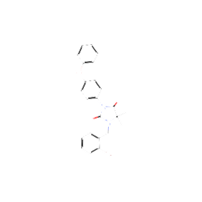 CC1(C)C(=O)N(c2ccc(Oc3ccccc3)cc2)C(=O)N1Cc1ccccc1Br